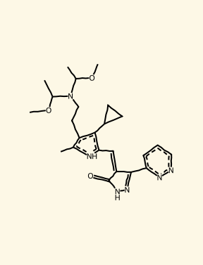 COC(C)N(CCc1c(C)[nH]c(C=C2C(=O)NN=C2c2cccnn2)c1C1CC1)C(C)OC